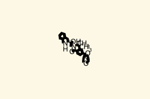 CC1(C)CN(CC(O)[C@@H]2Cc3ccccc3CN2)C(=O)c2ccc(C(=O)N3C4CCC3COC4)cc21